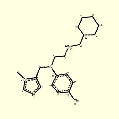 Cn1cncc1CN(CCNCC1CCCCC1)c1ccc(C#N)cc1